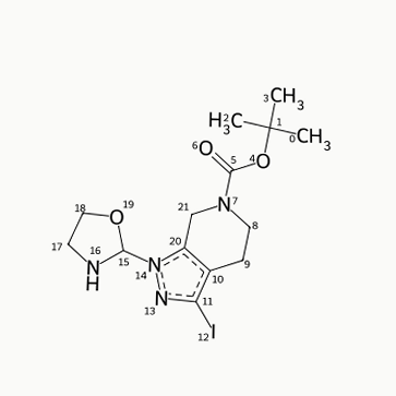 CC(C)(C)OC(=O)N1CCc2c(I)nn(C3NCCO3)c2C1